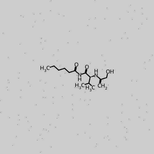 C=C(CO)N[C@H](C(=O)NC(=O)CCCCC)C(C)C